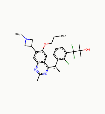 COCCOc1cc2c([C@H](C)c3cccc(C(F)(F)C(C)(C)O)c3F)nc(C)nc2cc1C1CN(C(=O)O)C1